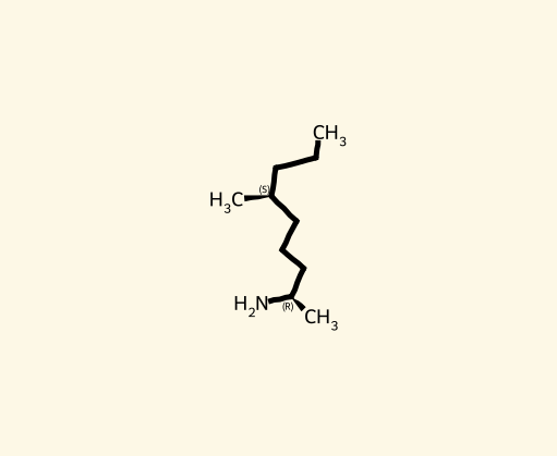 CCC[C@H](C)CCC[C@@H](C)N